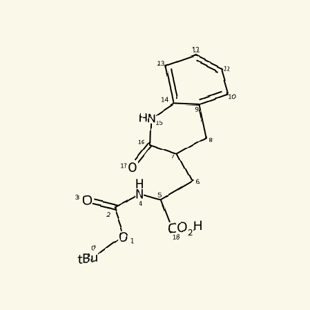 CC(C)(C)OC(=O)NC(CC1Cc2ccccc2NC1=O)C(=O)O